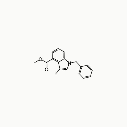 COC(=O)c1cccc2c1c(C)cn2Cc1ccccc1